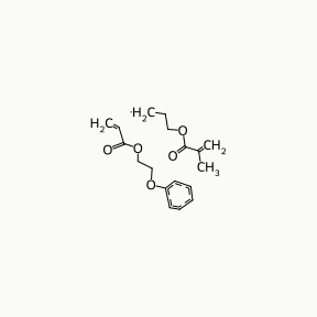 C=CC(=O)OCCOc1ccccc1.[CH2]CCOC(=O)C(=C)C